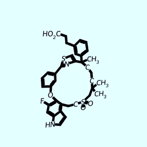 CC1(C)CCCC(C)(c2cccc(CCC(=O)O)c2)c2csc(n2)-c2cccc(c2)Oc2c(F)cc3[nH]ccc3c2CCS(=O)(=O)C1